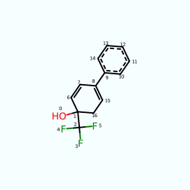 OC1(C(F)(F)F)C=CC(c2ccccc2)=CC1